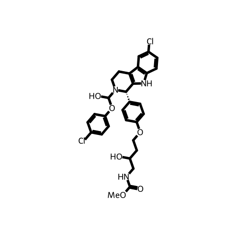 COC(=O)NCC(O)CCOc1ccc([C@H]2c3[nH]c4ccc(Cl)cc4c3CCN2C(O)Oc2ccc(Cl)cc2)cc1